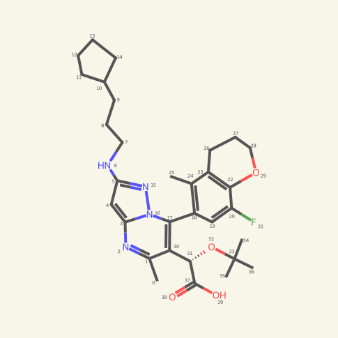 Cc1nc2cc(NCCCC3CCCC3)nn2c(-c2cc(F)c3c(c2C)CCCO3)c1[C@H](OC(C)(C)C)C(=O)O